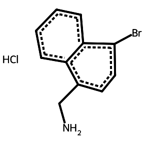 Cl.NCc1ccc(Br)c2ccccc12